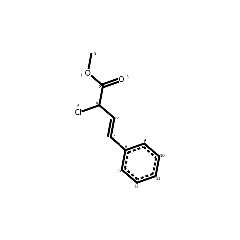 COC(=O)C(Cl)C=Cc1ccccc1